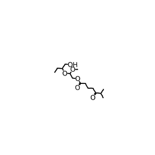 CCC(CO)OC(COC(=O)CCCC(=O)C(C)C)OC